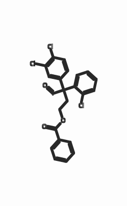 O=[C]C(CCOC(=O)c1ccccc1)(c1ccc(Cl)c(Cl)c1)c1ccccc1Cl